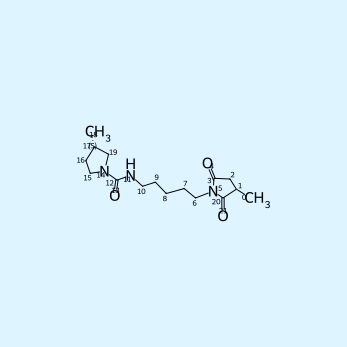 CC1CC(=O)N(CCCCCNC(=O)N2CC[C@H](C)C2)C1=O